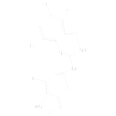 Oc1cc(Cl)c(Cl)c2c1N=C(Nc1cc(F)c3[nH]ccc3c1)NS2